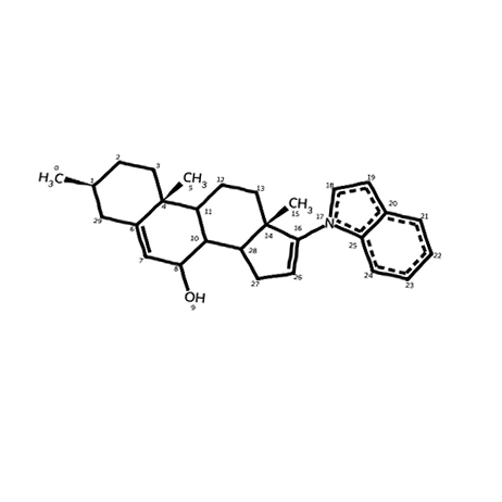 C[C@H]1CC[C@@]2(C)C(=CC(O)C3C2CC[C@]2(C)C(n4ccc5ccccc54)=CCC32)C1